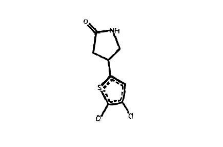 O=C1CC(c2cc(Cl)c(Cl)s2)CN1